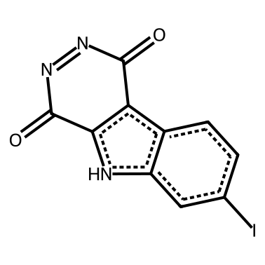 O=C1N=NC(=O)c2c1[nH]c1cc(I)ccc21